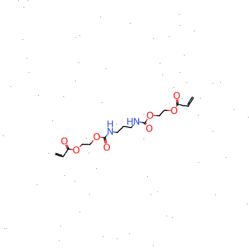 C=CC(=O)OCCOC(=O)NCCCNC(=O)OCCOC(=O)C=C